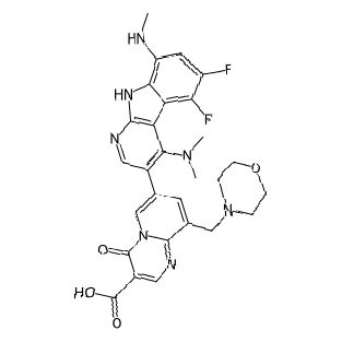 CNc1cc(F)c(F)c2c1[nH]c1ncc(-c3cc(CN4CCOCC4)c4ncc(C(=O)O)c(=O)n4c3)c(N(C)C)c12